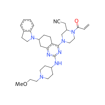 C=CC(=O)N1CCN(c2nc(NC3CCN(CCOC)CC3)nc3c2CCC(N2CCc4ccccc42)C3)CC1CC#N